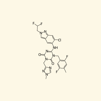 Cc1cc(F)c(Cn2c(Nc3cc4cn(CC(F)F)nc4cc3Cl)nc(=O)n(Cc3ncn(C)n3)c2=O)cc1F